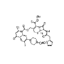 CCc1cc(=O)c2cc(F)c(N3CCN(C=O)CC3)cc2n1C(=O)OCC1=C(C(=O)OC(C)(C)C)N2C(=O)[C@@H](NC(=O)Cc3cccs3)[C@H]2SC1